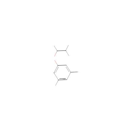 FC(F)(F)c1cc(OC(C(C(F)(F)F)C(F)(F)F)C(F)(F)F)cc(C(F)(F)F)c1